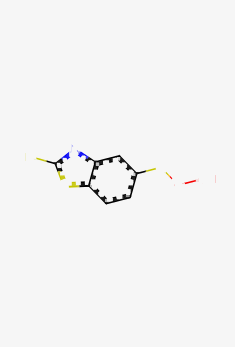 OOSc1ccc2sc(S)nc2c1